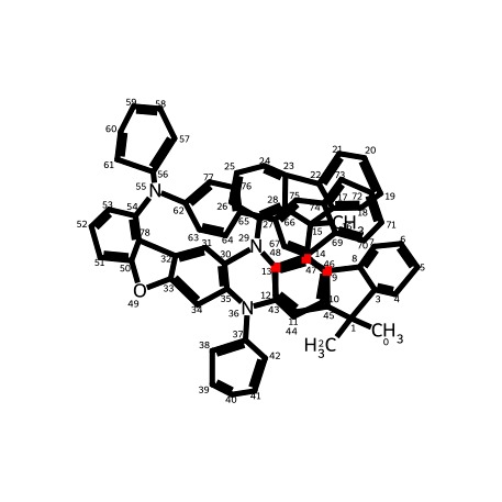 CC1(C)c2ccccc2-c2c1ccc1c2C2(C)c3ccccc3-c3cccc(c32)N1c1cc2c(cc1N(c1ccccc1)c1ccccc1)oc1cccc(N(c3ccccc3)c3ccc(-c4ccc5ccccc5c4)cc3)c12